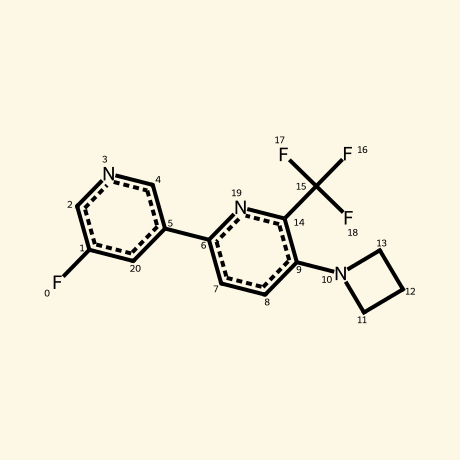 Fc1cncc(-c2ccc(N3CCC3)c(C(F)(F)F)n2)c1